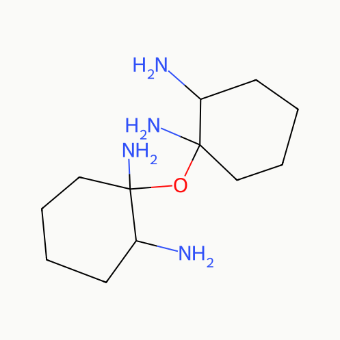 NC1CCCCC1(N)OC1(N)CCCCC1N